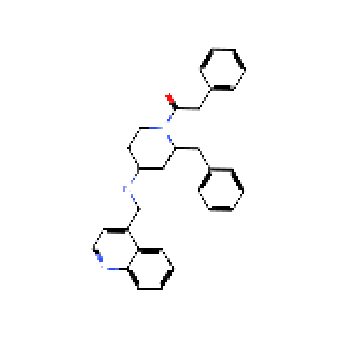 O=C(Cc1ccccc1)N1CCC(NCc2ccnc3ccccc23)CC1Cc1ccccc1